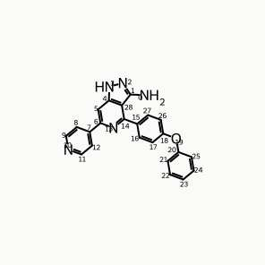 Nc1n[nH]c2cc(-c3ccncc3)nc(-c3ccc(Oc4ccccc4)cc3)c12